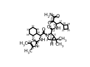 Cc1nc(N[C@H](C(=O)N2C[C@@H]3C(C2C(=O)NC(CC2CCC2)C(=O)C(N)=O)C3(C)C)C2CCCCC2)sc1C